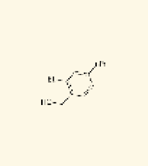 CCCc1ccc(CO)c(CC)c1